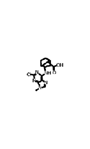 Cn1cnc2c(NC3C4CCC(CC4)C3C(=O)O)nc(Cl)nc21